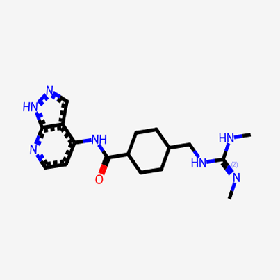 C/N=C(/NC)NCC1CCC(C(=O)Nc2ccnc3[nH]ncc23)CC1